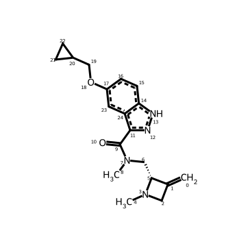 C=C1CN(C)[C@@H]1CN(C)C(=O)c1n[nH]c2ccc(OCC3CC3)cc12